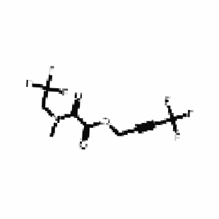 CN(CC(F)(F)F)C(=O)C(=O)OCC#CC(F)(F)F